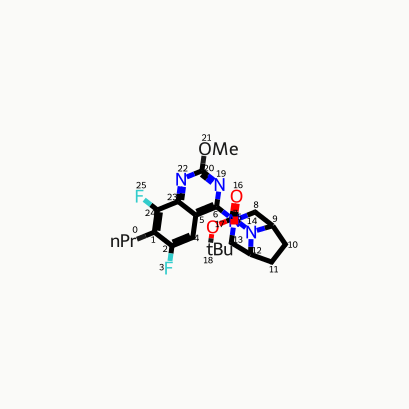 CCCc1c(F)cc2c(N3CC4CCC(C3)N4C(=O)OC(C)(C)C)nc(OC)nc2c1F